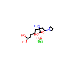 Cl.Cl.NC(CCCCB(O)O)(CCN1CCC1)C(=O)O.O